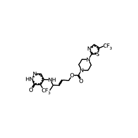 CC(/C=C/COC(=O)N1CCN(c2ncc(C(F)(F)F)s2)CC1)Nc1cn[nH]c(=O)c1C(F)(F)F